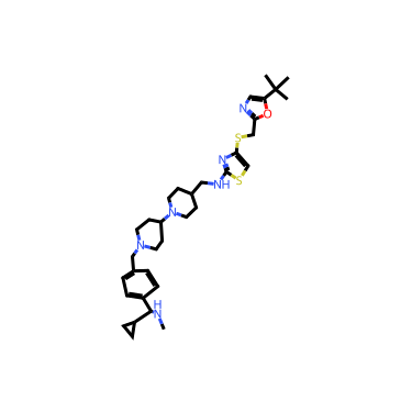 CNC(c1ccc(CN2CCC(N3CCC(CNc4nc(SCc5ncc(C(C)(C)C)o5)cs4)CC3)CC2)cc1)C1CC1